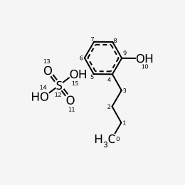 CCCCc1ccccc1O.O=S(=O)(O)O